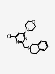 Clc1cc(N2CCOCC2)nc(CN2CCc3ccccc3C2)n1